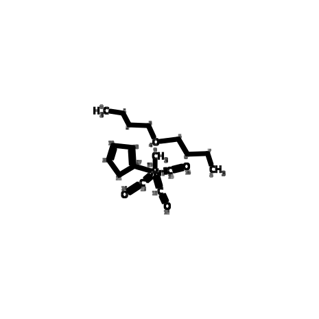 CCCCOCCCC.[CH3][Mn](=[C]=O)(=[C]=O)(=[C]=O)[C]1=CC=CC1